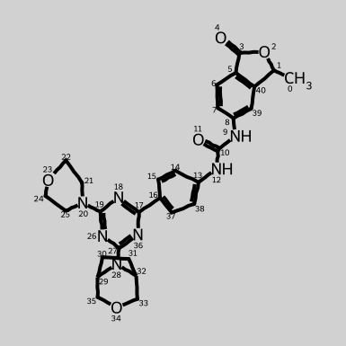 CC1OC(=O)c2ccc(NC(=O)Nc3ccc(-c4nc(N5CCOCC5)nc(N5C6CCC5COC6)n4)cc3)cc21